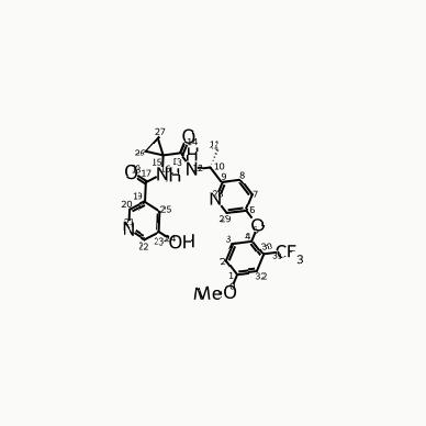 COc1ccc(Oc2ccc([C@@H](C)NC(=O)C3(NC(=O)c4cncc(O)c4)CC3)nc2)c(C(F)(F)F)c1